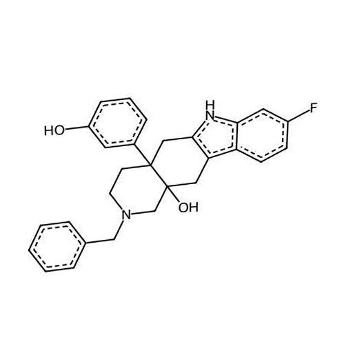 Oc1cccc(C23CCN(Cc4ccccc4)CC2(O)Cc2c([nH]c4cc(F)ccc24)C3)c1